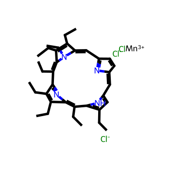 CCC1=C(CC)c2nc1c(CC)c1[nH]c(cc3nc(cc4c(CC)c(CC)c(c2CC)n4CC)C=C3)cc1CC.[Cl-].[Cl-].[Cl-].[Mn+3]